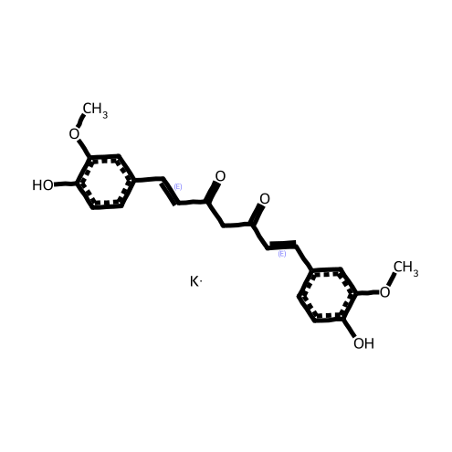 COc1cc(/C=C/C(=O)CC(=O)/C=C/c2ccc(O)c(OC)c2)ccc1O.[K]